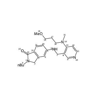 CCCCN1Cc2cc(NCc3cnccc3N(C)CCCOC)ccc2C1=O